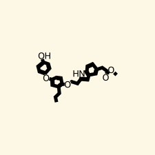 CCCc1cc(Oc2ccc(O)cc2)ccc1OCCc1cc2cc(CC(=O)OC)ccc2[nH]1